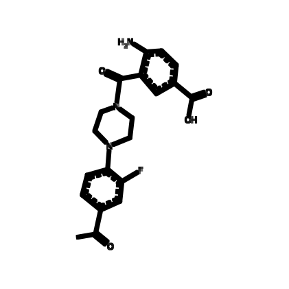 CC(=O)c1ccc(N2CCN(C(=O)c3cc(C(=O)O)ccc3N)CC2)c(F)c1